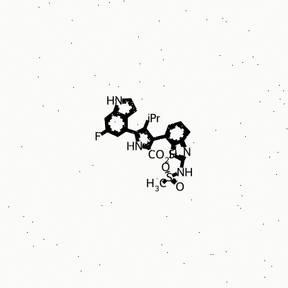 CC(C)c1c(-c2cc(F)cc3[nH]ccc23)[nH]c(C(=O)O)c1-c1cccc2nc(NS(C)(=O)=O)sc12